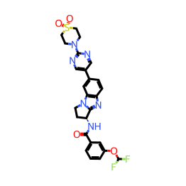 O=C(N[C@@H]1CCn2c1nc1ccc(-c3cnc(N4CCS(=O)(=O)CC4)nc3)cc12)c1cccc(OC(F)F)c1